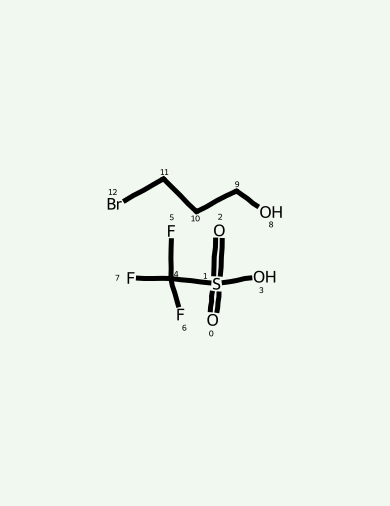 O=S(=O)(O)C(F)(F)F.OCCCBr